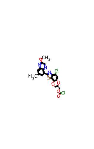 COc1cnc2c(-c3nc4c(Cl)cc5c(c4s3)OC[C@H](COC(=O)Cl)O5)cc(C)cc2n1